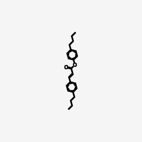 CCCCc1ccc(/C=C/C(=O)Oc2ccc(CCCC)cc2)cc1